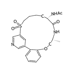 CC(=O)N[C@H]1CCCCS(=O)(=O)c2cncc(c2)-c2ccccc2OC[C@@H](C)NC1=O